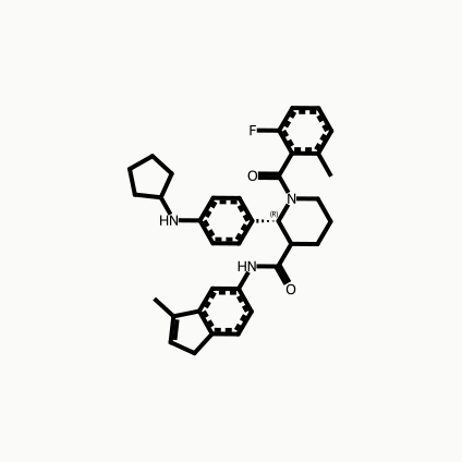 CC1=CCc2ccc(NC(=O)C3CCCN(C(=O)c4c(C)cccc4F)[C@H]3c3ccc(NC4CCCC4)cc3)cc21